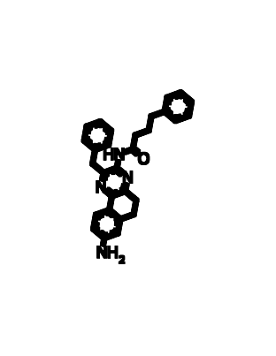 Nc1ccc2c(c1)CCc1nc(NC(=O)CCCc3ccccc3)c(Cc3ccccc3)nc1-2